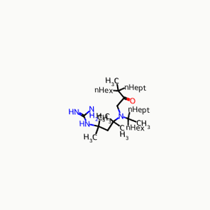 CCCCCCCC(C)(CCCCCC)C(=O)CN(C(C)(C)CC(C)(C)NC(=N)N)C(C)(CCCCCC)CCCCCCC